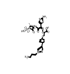 C[C@@H]1[C@H](NC(=O)C(=NOC(COc2ccc(-c3cnn(CCCN)c3)cc2)C(=O)O)c2csc(N)n2)C(=O)N1S(=O)(=O)O